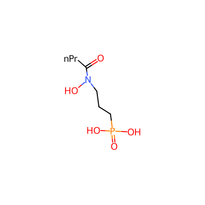 CCCC(=O)N(O)CCCP(=O)(O)O